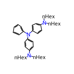 CCCCCCN(CCCCCC)c1ccc(N(c2ccccc2)c2ccc(N(CCCCCC)CCCCCC)cc2)cc1